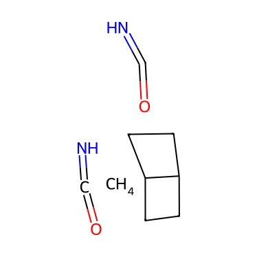 C.C1CC2CCC12.N=C=O.N=C=O